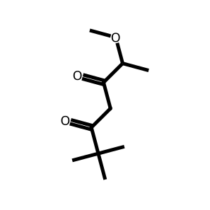 COC(C)C(=O)CC(=O)C(C)(C)C